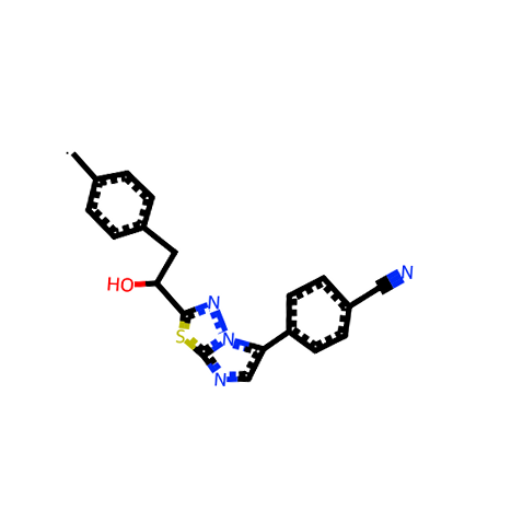 [CH2]c1ccc(CC(O)c2nn3c(-c4ccc(C#N)cc4)cnc3s2)cc1